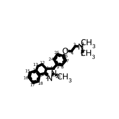 CN(C)CCOc1ccc(C2C3CCc4ccccc4C3=NN2C)cc1